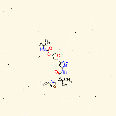 Cc1csc([C@@H]2[C@@H](C(=O)Nc3cc([C@@H]4C[C@H](OC(=O)NC5(C)CC5)CO4)[nH]n3)C2(C)C)n1